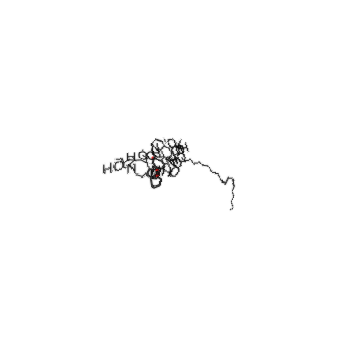 CCCCC/C=C\C/C=C\CCCCCCCCOC(=O)[C@@]1(O)[C@H](OC(C)=O)[C@]2(CC)C=CCN3CC[C@@]4(c5cc([C@@]6(C(=O)OC)C[C@@H]7C[N@](CCc8c6[nH]c6ccccc86)C[C@](O)(CC)C7)c(OC)cc5N(C=O)[C@@H]14)[C@@H]32